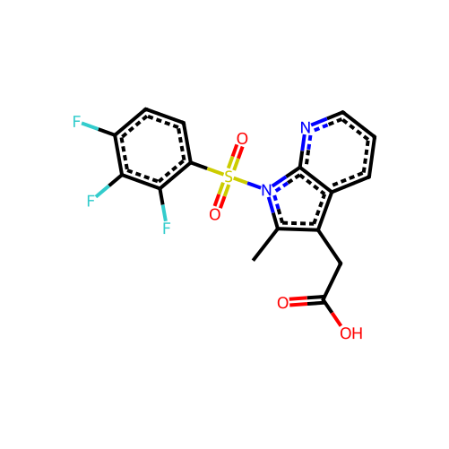 Cc1c(CC(=O)O)c2cccnc2n1S(=O)(=O)c1ccc(F)c(F)c1F